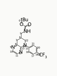 CC(C)(C)OC(=O)NCC1Cc2nccnc2N(c2ccc(C(F)(F)F)cc2)C1